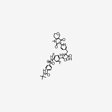 Cn1c2c(c(=O)n(-c3ccc(C[C@H](NC(=O)c4cc(F)c(NS(=O)(=O)c5ccc(C(=O)NC(C)(C)C)cc5)cc4F)C(=O)O)cn3)c1=O)COCC2